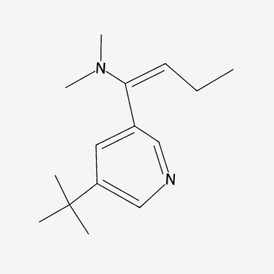 CC/C=C(\c1cncc(C(C)(C)C)c1)N(C)C